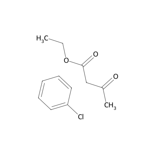 CCOC(=O)CC(C)=O.Clc1ccccc1